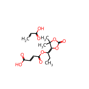 C=CC(=O)O.CCC(OC(=O)/C=C/C(=O)O)=C1OC(=O)OC1(C)C